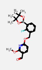 COc1nc(OCc2cccc(B3OC(C)(C)C(C)(C)O3)c2F)ccc1C=O